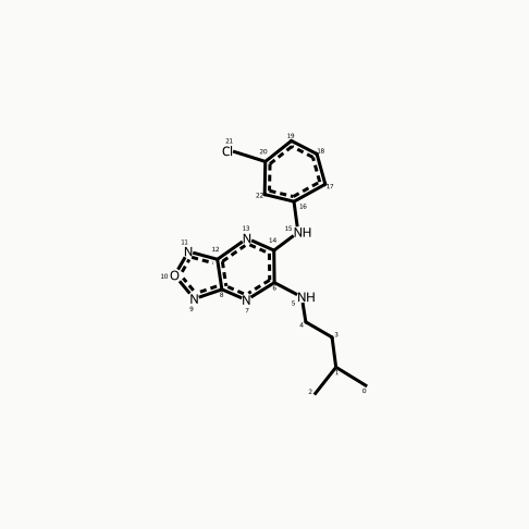 CC(C)CCNc1nc2nonc2nc1Nc1cccc(Cl)c1